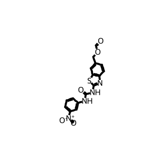 O=COCc1ccc2nc(NC(=O)Nc3cccc([N+](=O)[O-])c3)sc2c1